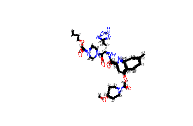 CCCCOC(=O)N1CCN(C(=O)[C@H](CCc2nn[nH]n2)NC(=O)c2cc(OCC(=O)N3CCC(OC)CC3)c3ccc(C)cc3n2)CC1